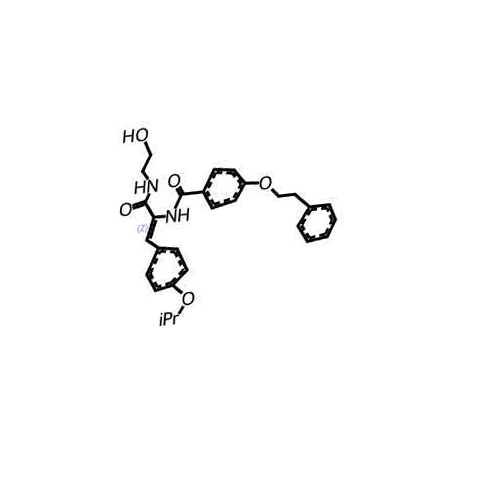 CC(C)Oc1ccc(/C=C(\NC(=O)c2ccc(OCCc3ccccc3)cc2)C(=O)NCCO)cc1